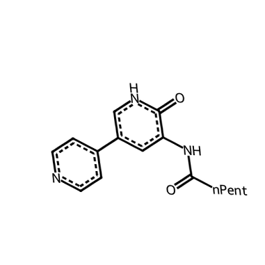 CCCCCC(=O)Nc1cc(-c2ccncc2)c[nH]c1=O